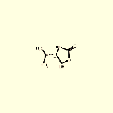 CC(C)[C@H]1COC(=O)N1.[LiH]